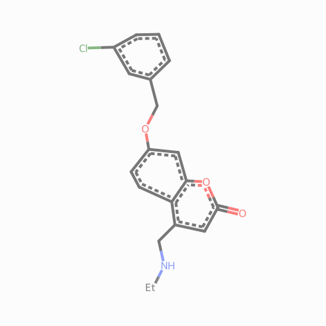 CCNCc1cc(=O)oc2cc(OCc3cccc(Cl)c3)ccc12